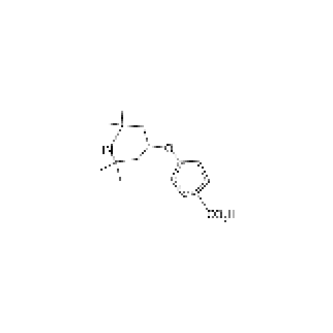 CC1(C)CC(Oc2ccc(C(=O)O)cc2)CC(C)(C)N1